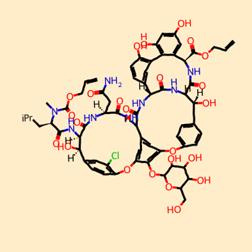 C=CCOC(=O)[C@H]1NC(=O)[C@H]2NC(=O)[C@H](NC(=O)[C@@H]3NC(=O)[C@H](CC(N)=O)NC(=O)[C@H](NC(=O)[C@@H](CC(C)C)N(C)C(=O)OCC=C)[C@H](O)c4ccc(c(Cl)c4)Oc4cc3cc(c4OC3OC(CO)C(O)C(O)C3O)Oc3ccc(cc3)[C@H]2O)c2ccc(O)c(c2)-c2c(O)cc(O)cc21